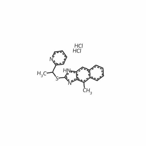 Cc1c2ccccc2cc2[nH]c(SC(C)c3ccccn3)nc12.Cl.Cl